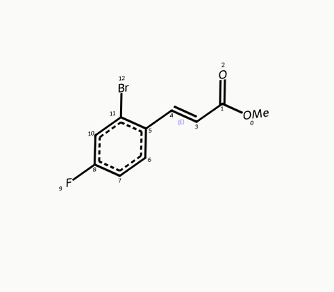 COC(=O)/C=C/c1ccc(F)cc1Br